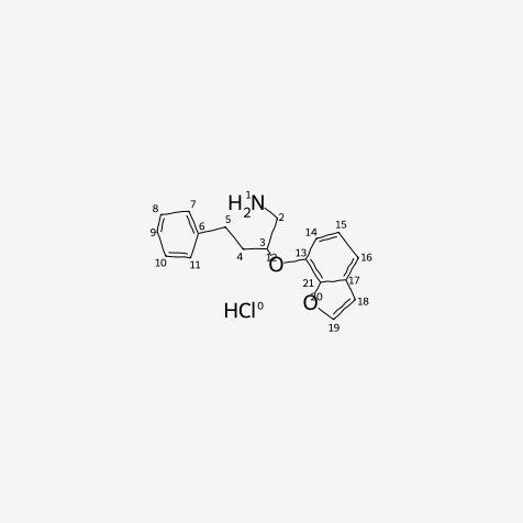 Cl.NCC(CCc1ccccc1)Oc1cccc2ccoc12